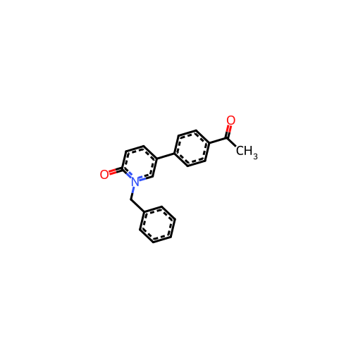 CC(=O)c1ccc(-c2ccc(=O)n(Cc3ccccc3)c2)cc1